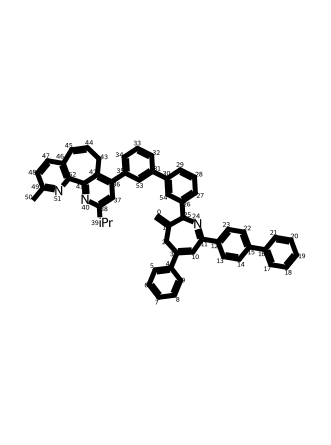 C=C1CC(c2ccccc2)=CC(c2ccc(-c3ccccc3)cc2)=NC1c1cccc(-c2cccc(-c3cc(C(C)C)nc4c3CC=Cc3ccc(C)nc3-4)c2)c1